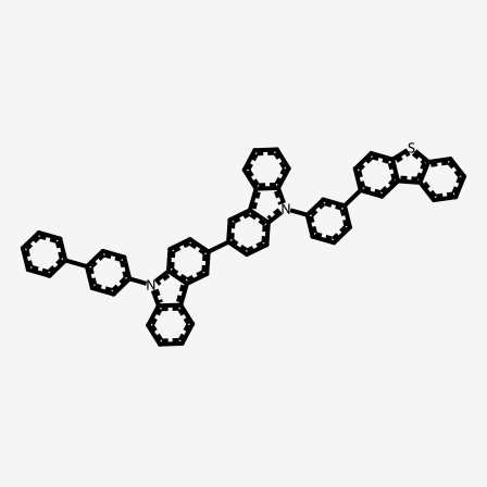 c1ccc(-c2ccc(-n3c4ccccc4c4cc(-c5ccc6c(c5)c5ccccc5n6-c5cccc(-c6ccc7sc8ccccc8c7c6)c5)ccc43)cc2)cc1